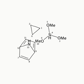 C1CC1.CO[SiH](OC)OC.c1cc2ccc1[nH]2